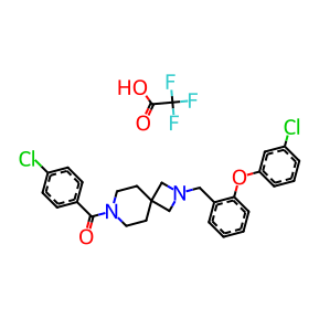 O=C(O)C(F)(F)F.O=C(c1ccc(Cl)cc1)N1CCC2(CC1)CN(Cc1ccccc1Oc1cccc(Cl)c1)C2